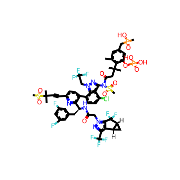 Cc1cc(CP(C)(=O)O)cc(OP(=O)(O)O)c1C(C)(C)CC(=O)N(c1nn(CC(F)(F)F)c2c(-c3ccc(C#CC(C)(C)S(C)(=O)=O)nc3[C@H](Cc3cc(F)cc(F)c3)NC(=O)Cn3nc(C(F)(F)F)c4c3C(F)(F)[C@@H]3C[C@H]43)ccc(Cl)c12)S(C)(=O)=O